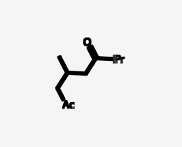 CC(=O)CC(C)CC(=O)C(C)C